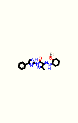 CCOC1CCCCC1N/N=C1/C(=O)N(c2nc(-c3ccccc3)c[nH]2)N=C1C